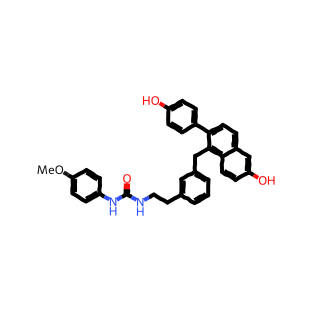 COc1ccc(NC(=O)NCCc2cccc(Cc3c(-c4ccc(O)cc4)ccc4cc(O)ccc34)c2)cc1